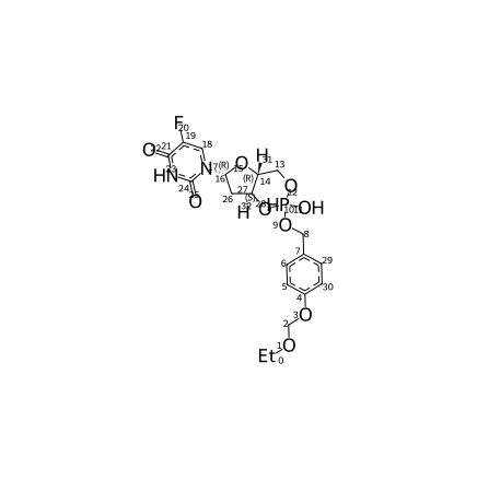 CCOCOc1ccc(CO[PH]2(O)OC[C@H]3O[C@@H](n4cc(F)c(=O)[nH]c4=O)C[C@@H]3O2)cc1